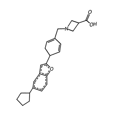 O=C(O)C1CN(CC2=CCC(c3cc4cc(C5CCCC5)ccc4o3)C=C2)C1